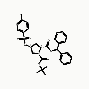 Cc1ccc(S(=O)(=O)O[C@H]2C[C@H](C(=O)OC(c3ccccc3)c3ccccc3)N(C(=O)OC(C)(C)C)C2)cc1